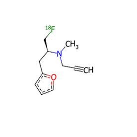 C#CCN(C)[C@H](C[18F])Cc1ccco1